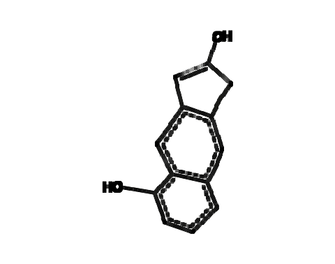 OC1=Cc2cc3c(O)cccc3cc2C1